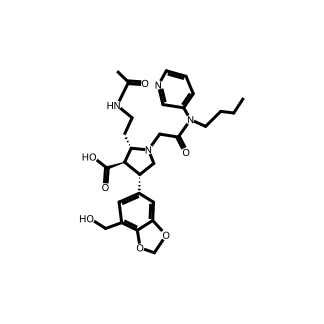 CCCCN(C(=O)CN1C[C@H](c2cc(CO)c3c(c2)OCO3)[C@@H](C(=O)O)[C@@H]1CCNC(C)=O)c1cccnc1